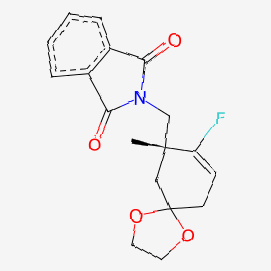 C[C@]1(CN2C(=O)c3ccccc3C2=O)CC2(CC=C1F)OCCO2